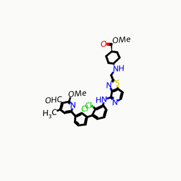 COc1nc(-c2cccc(-c3cccc(Nc4nccc5sc(CN[C@H]6CC[C@H](C(=O)OC)CC6)nc45)c3Cl)c2Cl)cc(C)c1C=O